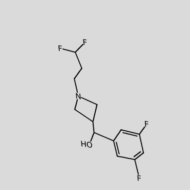 OC(c1cc(F)cc(F)c1)C1CN(CCC(F)F)C1